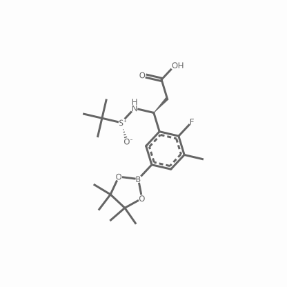 Cc1cc(B2OC(C)(C)C(C)(C)O2)cc([C@H](CC(=O)O)N[S@+]([O-])C(C)(C)C)c1F